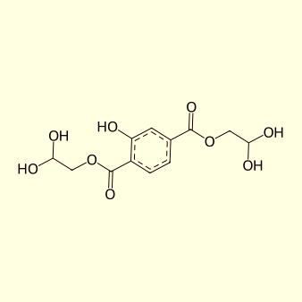 O=C(OCC(O)O)c1ccc(C(=O)OCC(O)O)c(O)c1